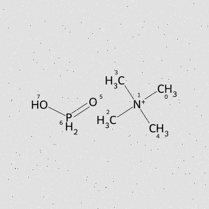 C[N+](C)(C)C.O=[PH2]O